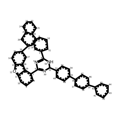 c1ccc(C2=NC(c3cccc4oc5ccc(-c6ccc7ccccc7c6)cc5c34)=NC(c3ccc(-c4ccc(-c5ccccc5)cc4)cc3)N2)cc1